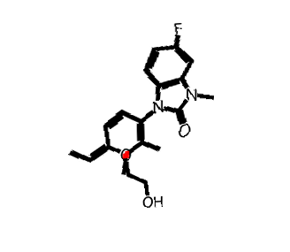 C\C=C(/C=C\C(=C(\C)CC)n1c(=O)n(C)c2cc(F)ccc21)OCCO